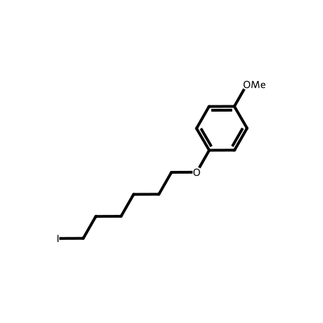 COc1ccc(OCCCCCCI)cc1